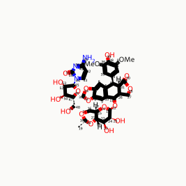 COc1cc([C@@H]2c3cc4c(cc3C(O[C@@H]3O[C@@H]5CO[C@@H](C)O[C@H]5[C@H](O)[C@H]3O)C3COC(=O)[C@@H]32)OCO4)cc(OC)c1O.Nc1ccn([C@@H]2O[C@H](CO)[C@@H](O)[C@@H]2O)c(=O)n1